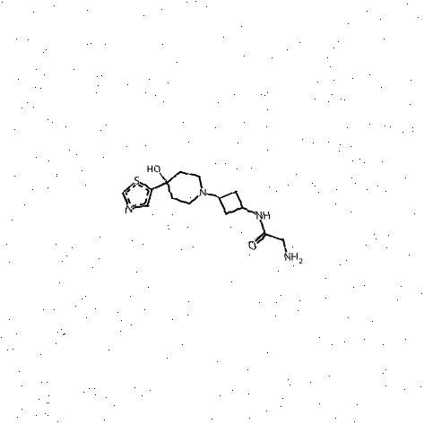 NCC(=O)NC1CC(N2CCC(O)(c3cncs3)CC2)C1